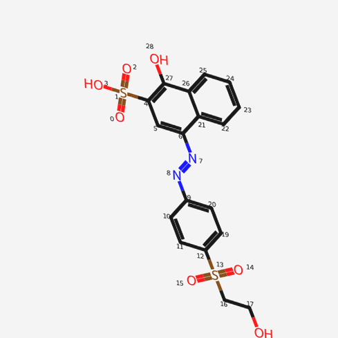 O=S(=O)(O)c1cc(N=Nc2ccc(S(=O)(=O)CCO)cc2)c2ccccc2c1O